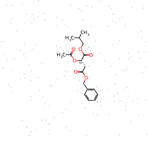 CC(=O)O[C@@H](CC(=O)OCc1ccccc1)C(=O)OCC(C)C